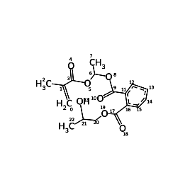 C=C(C)C(=O)OC(C)OC(=O)c1ccccc1C(=O)OCC(C)O